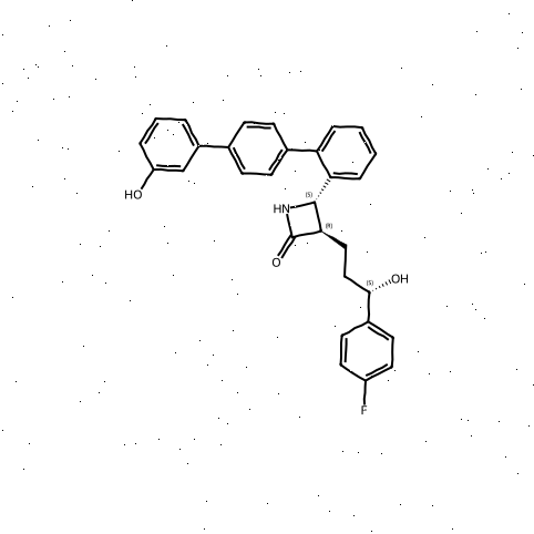 O=C1N[C@H](c2ccccc2-c2ccc(-c3cccc(O)c3)cc2)[C@H]1CC[C@H](O)c1ccc(F)cc1